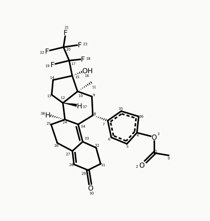 CC(=O)Oc1ccc([C@H]2C[C@@]3(C)[C@@H](CC[C@@]3(O)C(F)(F)C(F)(F)F)[C@@H]3CCC4=CC(=O)CCC4=C32)cc1